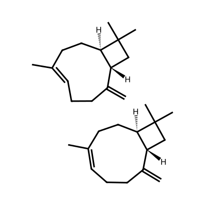 C=C1CC/C=C(/C)CC[C@@H]2[C@@H]1CC2(C)C.C=C1CC/C=C(\C)CC[C@@H]2[C@@H]1CC2(C)C